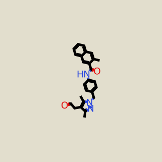 Cc1cc2ccccc2cc1C(=O)Nc1ccc(Cn2nc(C)c(CC=O)c2C)cc1